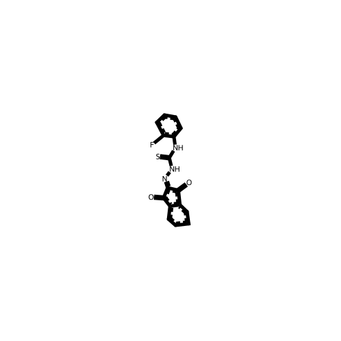 O=c1c(=NNC(=S)Nc2ccccc2F)c(=O)c2ccccc12